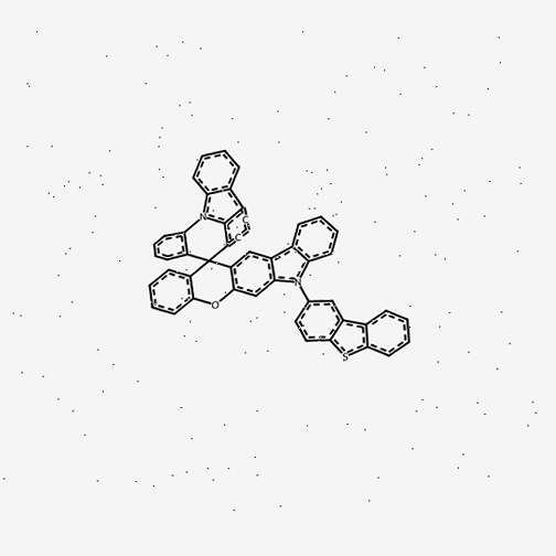 c1ccc2c(c1)Oc1cc3c(cc1C21c2ccccc2-n2c4ccccc4c4cccc1c42)c1ccccc1n3-c1ccc2sc3ccccc3c2c1